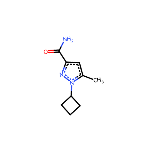 Cc1cc(C(N)=O)nn1C1CCC1